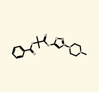 CN1CCN([n+]2cc([N-]C(=O)C(C)(C)SC(=O)c3ccccc3)on2)CC1